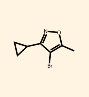 Cc1onc(C2CC2)c1Br